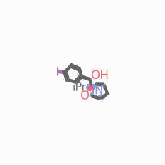 CC(C)N1CC2CC(C1)N2C(=O)C(O)c1ccc(I)cc1